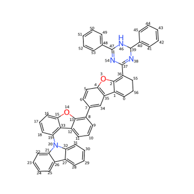 C1=c2c(oc3ccc(-c4cccc5c4oc4cccc(-n6c7ccccc7c7ccccc76)c45)cc23)=C(C2=NC(c3ccccc3)NC(c3ccccc3)=N2)CC1